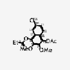 CCC(=O)Oc1c(OC)c(OC)c(OC(C)=O)c2ccc(Cl)cc12